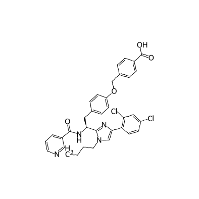 CCCCn1cc(-c2ccc(Cl)cc2Cl)nc1[C@H](Cc1ccc(OCc2ccc(C(=O)O)cc2)cc1)NC(=O)c1cccnc1